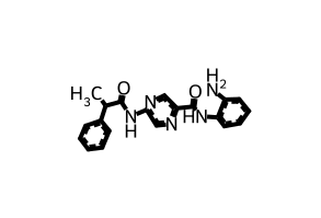 CC(C(=O)Nc1cnc(C(=O)Nc2ccccc2N)cn1)c1ccccc1